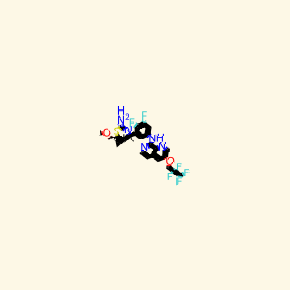 COC[C@]12C[C@H]1[C@](C)(c1cc(Nc3nccc4cc(OCC(F)(F)C(F)F)cnc34)cc(F)c1F)N=C(N)S2